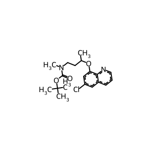 CC(CCN(C)C(=O)OC(C)(C)C)Oc1cc(Cl)cc2cccnc12